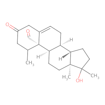 CC1CC(=O)CC2=CC[C@@H]3[C@@H](CC[C@@]4(C)[C@H]3CCC4(C)O)[C@]21C=O